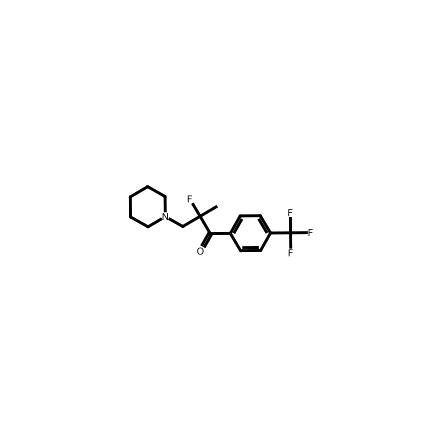 CC(F)(CN1CCCCC1)C(=O)c1ccc(C(F)(F)F)cc1